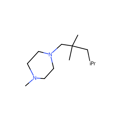 CC(C)CC(C)(C)CN1CCN(C)CC1